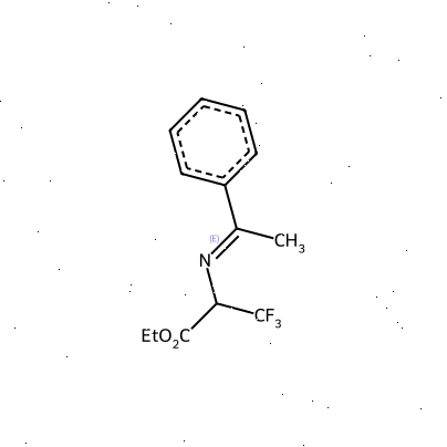 CCOC(=O)C(/N=C(\C)c1ccccc1)C(F)(F)F